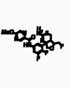 COc1cnc(C(=O)Nc2cc(F)c(F)c(C34COC(CF)C3CSC(N)=N4)c2)cn1